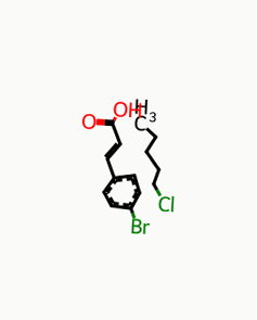 CCCCCCl.O=C(O)C=Cc1ccc(Br)cc1